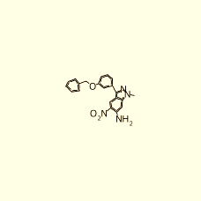 Cn1nc(-c2cccc(OCc3ccccc3)c2)c2cc([N+](=O)[O-])c(N)cc21